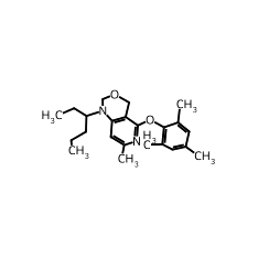 CCCC(CC)N1COCc2c1cc(C)nc2Oc1c(C)cc(C)cc1C